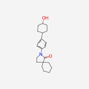 O=C1N(c2ccc(C3CCC(O)CC3)cc2)CCC12CCCCC2